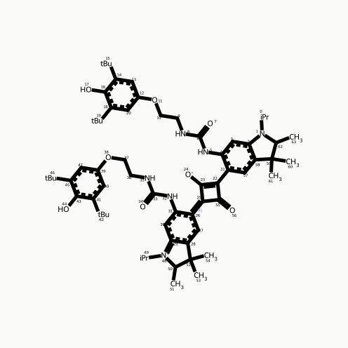 CC(C)N1c2cc(NC(=O)NCCOc3cc(C(C)(C)C)c(O)c(C(C)(C)C)c3)c(C3=C([O-])/C(=c4/cc5c(cc4NC(=O)NCCOc4cc(C(C)(C)C)c(O)c(C(C)(C)C)c4)=[N+](C(C)C)C(C)C5(C)C)C3=O)cc2C(C)(C)C1C